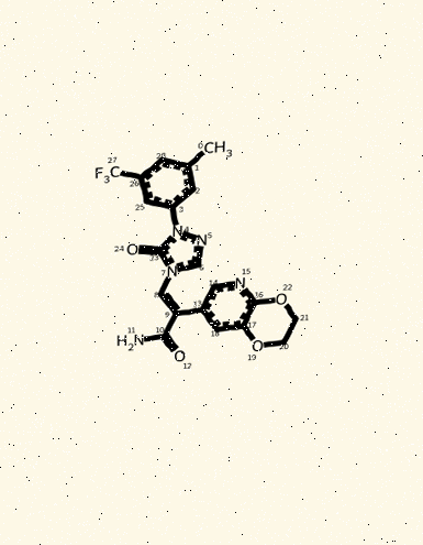 Cc1cc(-n2ncn(/C=C(/C(N)=O)c3cnc4c(c3)OCCO4)c2=O)cc(C(F)(F)F)c1